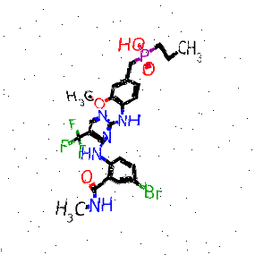 CCCP(=O)(O)Cc1ccc(Nc2ncc(C(F)(F)F)c(Nc3ccc(Br)cc3C(=O)NC)n2)c(OC)c1